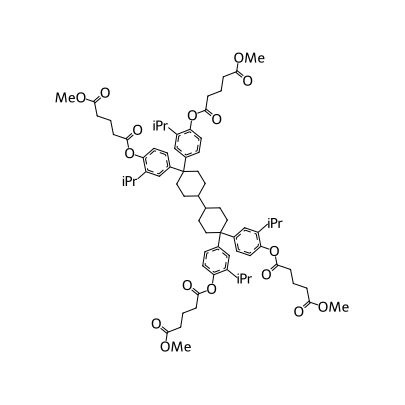 COC(=O)CCCC(=O)Oc1ccc(C2(c3ccc(OC(=O)CCCC(=O)OC)c(C(C)C)c3)CCC(C3CCC(c4ccc(OC(=O)CCCC(=O)OC)c(C(C)C)c4)(c4ccc(OC(=O)CCCC(=O)OC)c(C(C)C)c4)CC3)CC2)cc1C(C)C